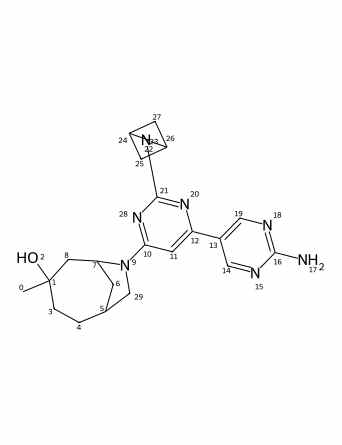 CC1(O)CCC2CC(C1)N(c1cc(-c3cnc(N)nc3)nc(N3CC4CC3C4)n1)C2